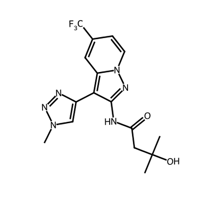 Cn1cc(-c2c(NC(=O)CC(C)(C)O)nn3ccc(C(F)(F)F)cc23)nn1